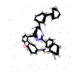 c1ccc(-c2cccc(-c3cc(-c4cccc5oc6ccc(-c7nc8ccccc8s7)cc6c45)nc(-c4ccccc4)n3)c2)cc1